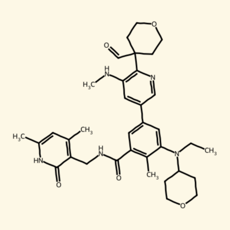 CCN(c1cc(-c2cnc(C3(C=O)CCOCC3)c(NC)c2)cc(C(=O)NCc2c(C)cc(C)[nH]c2=O)c1C)C1CCOCC1